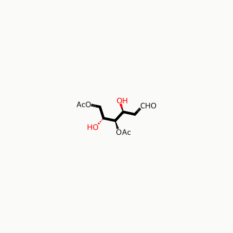 CC(=O)OC[C@@H](O)[C@H](OC(C)=O)[C@@H](O)CC=O